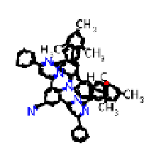 Cc1cc(C)c(-c2ccc3c(c2)c2cc(-c4c(C)cc(C)cc4C)ccc2n3-c2c(-c3cc(-c4ccccc4)nc(-c4ccccc4)n3)cc(C#N)cc2-c2cc(-c3ccccc3)nc(-c3ccccc3)n2)c(C)c1